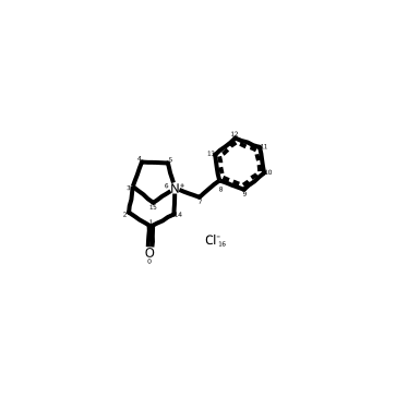 O=C1CC2CC[N+](Cc3ccccc3)(C1)C2.[Cl-]